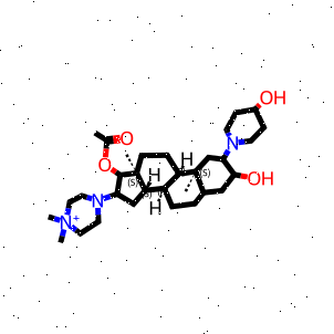 CC(=O)OC1C(N2CC[N+](C)(C)CC2)C[C@H]2[C@@H]3CCC4CC(O)C(N5CCC(O)CC5)C[C@]4(C)[C@@H]3CC[C@]12C